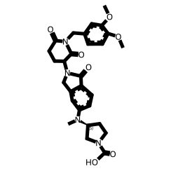 COc1ccc(CN2C(=O)CCC(N3Cc4cc(N(C)[C@H]5CCN(C(=O)O)C5)ccc4C3=O)C2=O)cc1OC